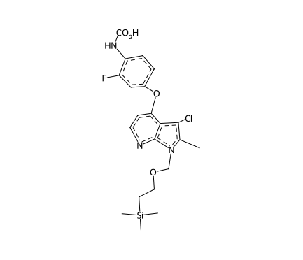 Cc1c(Cl)c2c(Oc3ccc(NC(=O)O)c(F)c3)ccnc2n1COCC[Si](C)(C)C